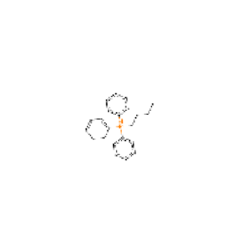 CCCC[PH](C1=CC=CCC1)(c1ccccc1)c1ccccc1